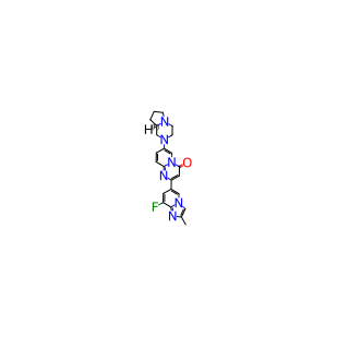 Cc1cn2cc(-c3cc(=O)n4cc(N5CCN6CCC[C@@H]6C5)ccc4n3)cc(F)c2n1